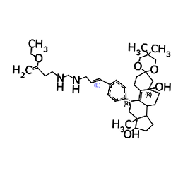 C=C(CCNCNC/C=C/c1ccc([C@H]2CC3(C)C(O)CCC3C3CC[C@@]4(O)CC5(CCC4=C32)OCC(C)(C)CO5)cc1)OCC